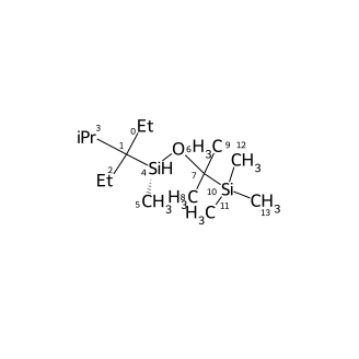 CCC(CC)(C(C)C)[Si@@H](C)OC(C)(C)[Si](C)(C)C